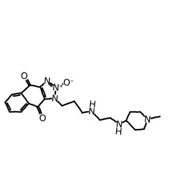 CN1CCC(NCCNCCCn2c3c(n[n+]2[O-])C(=O)c2ccccc2C3=O)CC1